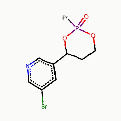 CC(C)P1(=O)OCCC(c2cncc(Br)c2)O1